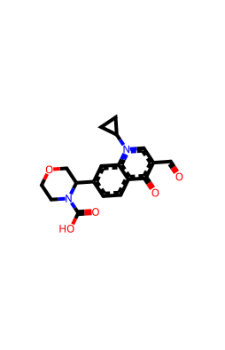 O=Cc1cn(C2CC2)c2cc(C3COCCN3C(=O)O)ccc2c1=O